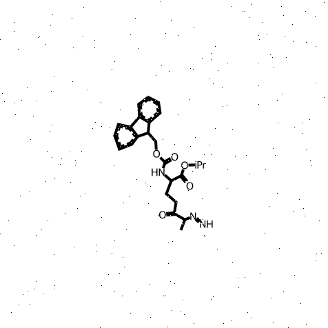 CC(C)OC(=O)C(CCC(=O)C(C)N=N)NC(=O)OCC1c2ccccc2-c2ccccc21